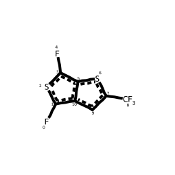 Fc1sc(F)c2sc(C(F)(F)F)cc12